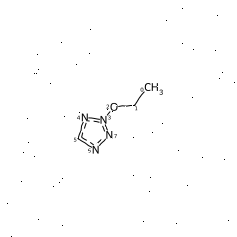 CCOn1ncnn1